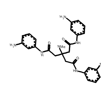 CNC(CC(=O)Nc1cccc(N)c1)(CC(=O)Nc1cccc(N)c1)CC(=O)Nc1cccc(N)c1